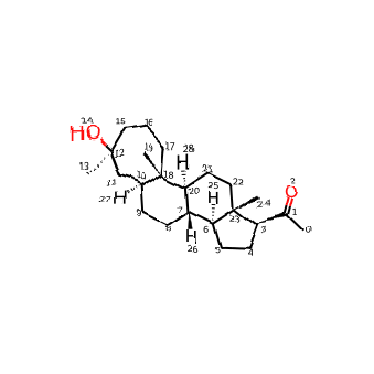 CC(=O)[C@H]1CC[C@H]2[C@@H]3CC[C@H]4C[C@@](C)(O)CCC[C@]4(C)[C@H]3CC[C@]12C